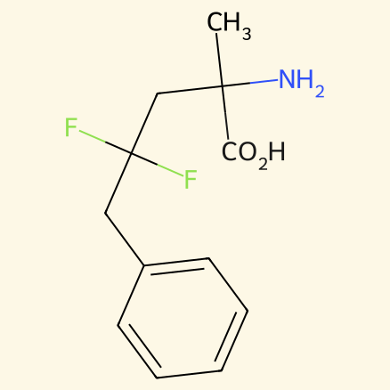 CC(N)(CC(F)(F)Cc1ccccc1)C(=O)O